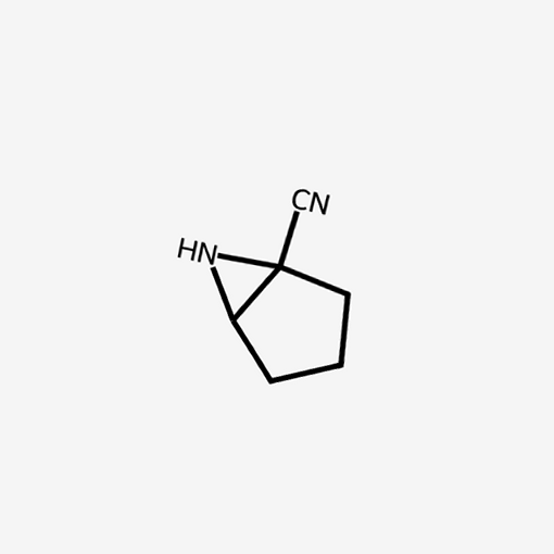 N#CC12CCCC1N2